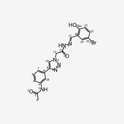 CC(=O)Nc1cccc(-c2cn(CC(=O)NN=Cc3cc(Br)ccc3O)nn2)c1